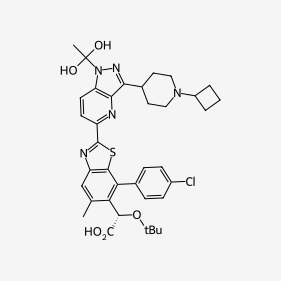 Cc1cc2nc(-c3ccc4c(n3)c(C3CCN(C5CCC5)CC3)nn4C(C)(O)O)sc2c(-c2ccc(Cl)cc2)c1[C@H](OC(C)(C)C)C(=O)O